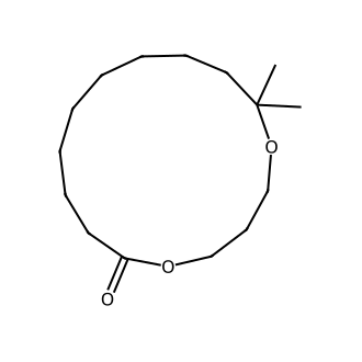 CC1(C)CCCCCCCCC(=O)OCCCO1